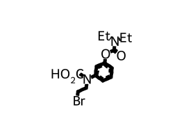 CCN(CC)C(=O)Oc1cccc(N(CCBr)C(=O)O)c1